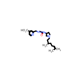 CC(C)=CCCC(C)CCN1CCC(NC(=O)CNCc2cc(C(=O)O)ccn2)C1